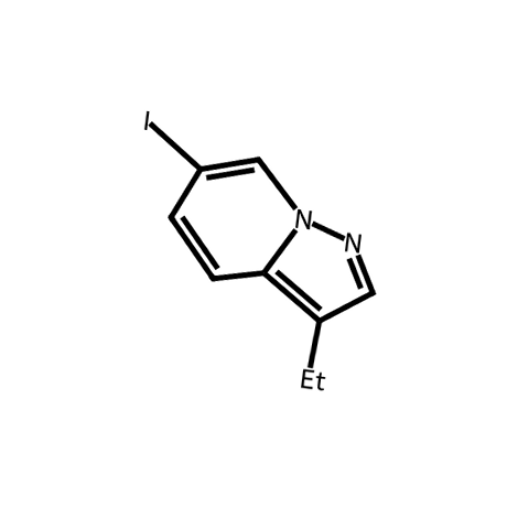 CCc1cnn2cc(I)ccc12